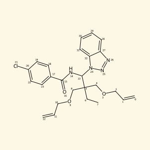 C=CCOCC(CC)(COCC=C)C(NC(=O)c1ccc(Cl)cc1)n1nnc2ccccc21